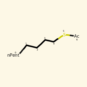 CCCCCCCCCSC(C)=O